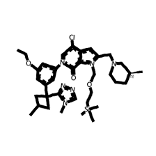 CCOc1cc(-n2cc(Cl)c3cc(CN4CCC[C@H](C)C4)n(COCC[Si](C)(C)C)c3c2=O)cc(C2(c3nncn3C)CC(C)C2)c1